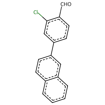 O=Cc1ccc(-c2ccc3ccccc3c2)cc1Cl